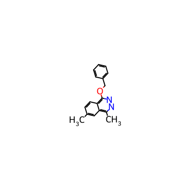 Cc1ccc2c(OCc3ccccc3)nnc(C)c2c1